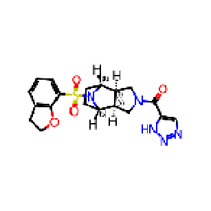 O=C(c1cnn[nH]1)N1C[C@@H]2[C@H](C1)[C@H]1CC[C@@H]2N1S(=O)(=O)c1cccc2c1OCC2